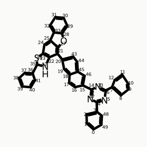 c1ccc(-c2nc(-c3ccccc3)nc(-c3ccc4cc(-c5c6c(cc7c5oc5ccccc57)SC(c5ccccc5)N6)ccc4c3)n2)cc1